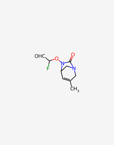 CC1=CC2CN(C1)C(=O)N2OC(F)C=O